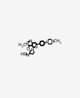 CN1CCN(c2ccc(-c3cc4ncn(C)c(=O)c4c(N4CCC(=NO)C4)n3)cc2)CC1